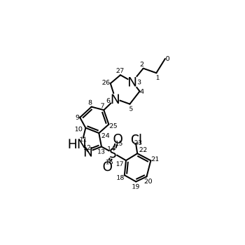 CCCN1CCN(c2ccc3[nH]nc(S(=O)(=O)c4ccccc4Cl)c3c2)CC1